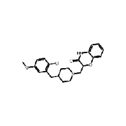 COc1ccc(Cl)c(CC2CCN(CC3Oc4ccccc4NC3=O)CC2)c1